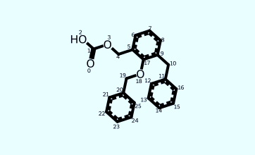 O=C(O)OCc1cccc(Cc2ccccc2)c1OCc1ccccc1